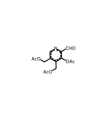 CC(=O)OCc1cnc(C=O)c(OC(C)=O)c1COC(C)=O